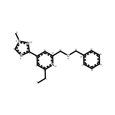 CCc1cc(-c2ncn(C)n2)cc(COCc2ccccc2)n1